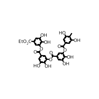 CCOC(=O)c1cc(O)c(O)c(OC(=O)c2cc(O)c(O)c(OC(=O)c3cc(O)c(O)c(OC(=O)c4cc(O)c(C)c(O)c4)c3)c2)c1